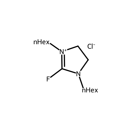 CCCCCCN1CC[N+](CCCCCC)=C1F.[Cl-]